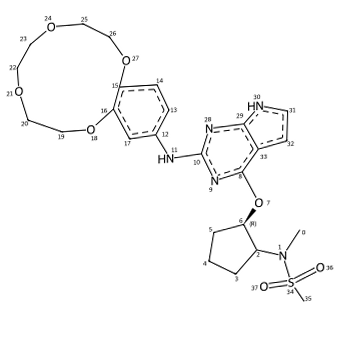 CN(C1CCC[C@H]1Oc1nc(Nc2ccc3c(c2)OCCOCCOCCO3)nc2[nH]ccc12)S(C)(=O)=O